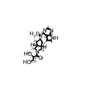 CN(c1ncnc2[nH]ccc12)[C@H]1C[C@@H]2CN(C(=O)C(O)CO)C[C@@H]2C1